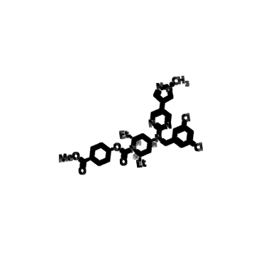 CC[C@@H]1C[C@H](N(Cc2cc(Cl)cc(Cl)c2)c2ncc(C3C=NN(C)C3)cn2)C[C@H](CC)N1C(=O)O[C@H]1CC[C@H](C(=O)OC)CC1